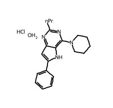 CCCc1nc(N2CCCCC2)c2[nH]c(-c3ccccc3)cc2n1.Cl.O